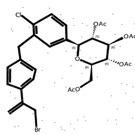 C=C(CBr)c1ccc(Cc2cc([C@@H]3O[C@H](COC(C)=O)[C@@H](OC(C)=O)[C@H](OC(C)=O)[C@H]3OC(C)=O)ccc2Cl)cc1